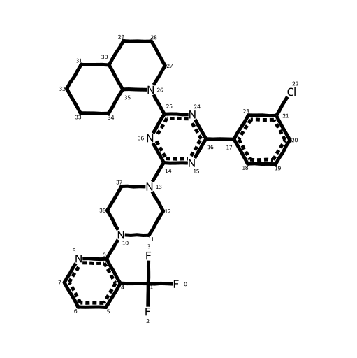 FC(F)(F)c1cccnc1N1CCN(c2nc(-c3cccc(Cl)c3)nc(N3CCCC4CCCCC43)n2)CC1